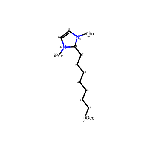 CCCCCCCCCCCCCCCCCC1N(CCCC)C=CN1C(C)C